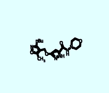 CCCCc1noc(C)c1COc1cc(C(=O)NN2CCOCC2)[nH]n1